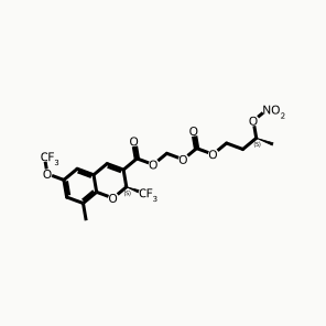 Cc1cc(OC(F)(F)F)cc2c1O[C@H](C(F)(F)F)C(C(=O)OCOC(=O)OCC[C@H](C)O[N+](=O)[O-])=C2